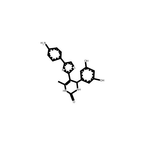 CC1=C(c2nc(-c3ccc(N)cc3)cs2)C(c2cc(O)cc(O)c2)NC(=O)N1